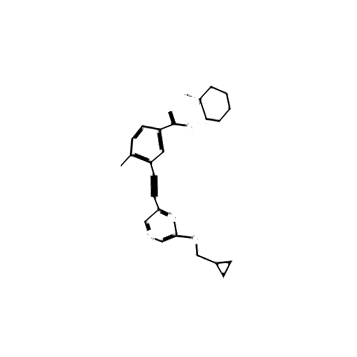 Cc1ccc(C(=O)N[C@H]2CCCC[C@@H]2O)cc1C#Cc1cncc(NCC2CC2)n1